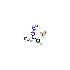 Nc1nnc(N2CCC(N3C[C@H](CN4CC(F)C4)OC[C@@H]3Cc3ccc(Cl)cc3)CC2)[nH]1.O=C(O)C(F)(F)F